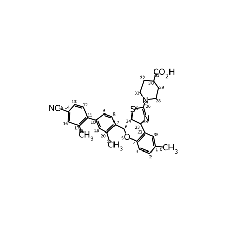 Cc1ccc(OCc2ccc(-c3ccc(C#N)cc3C)cc2C)c(C2CSC(N3CCC(C(=O)O)CC3)=N2)c1